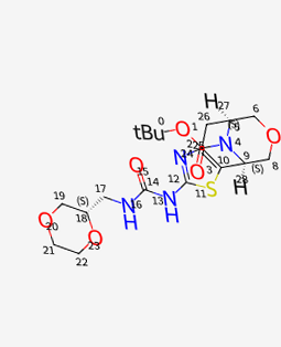 CC(C)(C)OC(=O)N1[C@@H]2COC[C@H]1c1sc(NC(=O)NC[C@H]3COCCO3)nc1C2